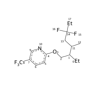 CCC(COc1ccc(C(F)(F)F)cn1)C(C)CC(F)(F)CC